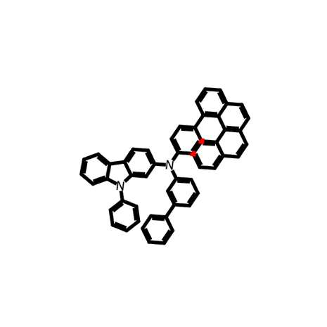 c1ccc(-c2cccc(N(c3ccc(-c4cccc5ccc6ccc7ccccc7c6c45)cc3)c3ccc4c5ccccc5n(-c5ccccc5)c4c3)c2)cc1